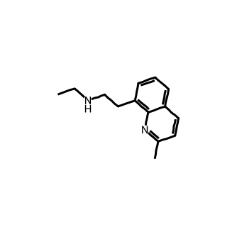 CCNCCc1cccc2ccc(C)nc12